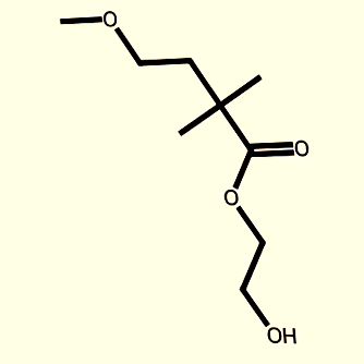 COCCC(C)(C)C(=O)OCCO